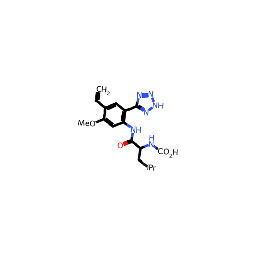 C=Cc1cc(-c2nn[nH]n2)c(NC(=O)C(CC(C)C)NC(=O)O)cc1OC